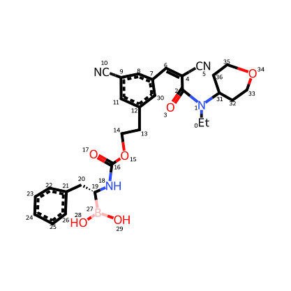 CCN(C(=O)C(C#N)=Cc1cc(C#N)cc(CCOC(=O)N[C@@H](Cc2ccccc2)B(O)O)c1)C1CCOCC1